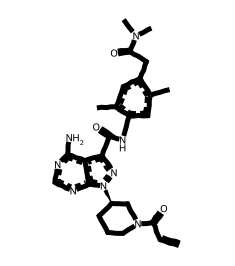 C=CC(=O)N1CCC[C@@H](n2nc(C(=O)Nc3cc(C)c(CC(=O)N(C)C)cc3C)c3c(N)ncnc32)C1